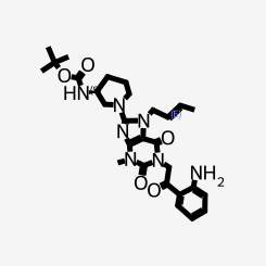 C/C=C/Cn1c(N2CCC[C@H](NC(=O)OC(C)(C)C)C2)nc2c1c(=O)n(CC(=O)c1ccccc1N)c(=O)n2C